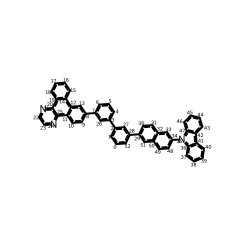 c1cc(-c2cccc(-c3ccc4c(c3)c3ccccc3c3nccnc43)c2)cc(-c2ccc3cc(-n4c5ccccc5c5ccccc54)ccc3c2)c1